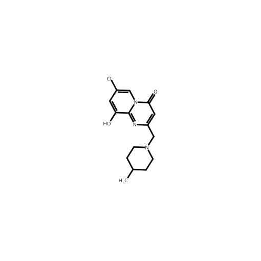 CC1CCN(Cc2cc(=O)n3cc(Cl)cc(O)c3n2)CC1